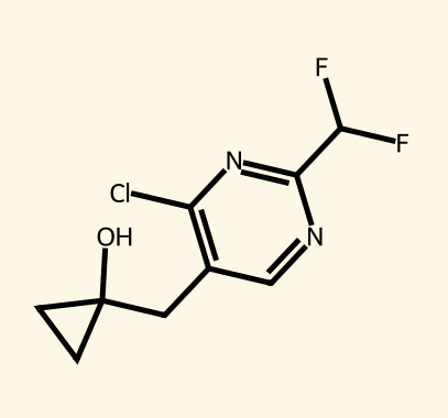 OC1(Cc2cnc(C(F)F)nc2Cl)CC1